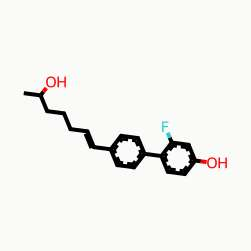 CC(O)CCC/C=C/c1ccc(-c2ccc(O)cc2F)cc1